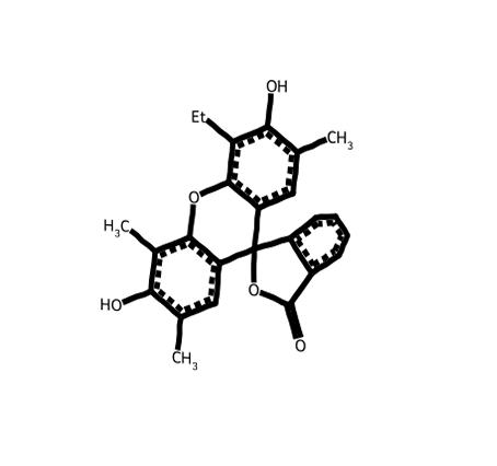 CCc1c(O)c(C)cc2c1Oc1c(cc(C)c(O)c1C)C21OC(=O)c2ccccc21